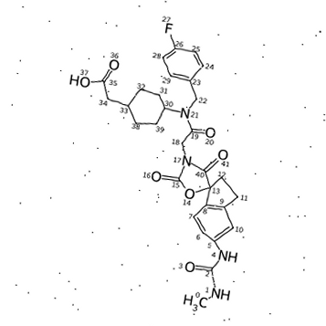 CNC(=O)Nc1ccc2c(c1)CCC21OC(=O)N(CC(=O)N(Cc2ccc(F)cc2)C2CCC(CC(=O)O)CC2)C1=O